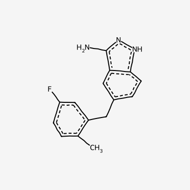 Cc1ccc(F)cc1Cc1ccc2[nH]nc(N)c2c1